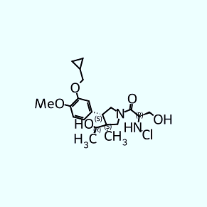 COc1ccc([C@@H]2CN(C(=O)[C@@H](CO)NCl)C[C@@]2(C)[C@@H](C)O)cc1OCC1CC1